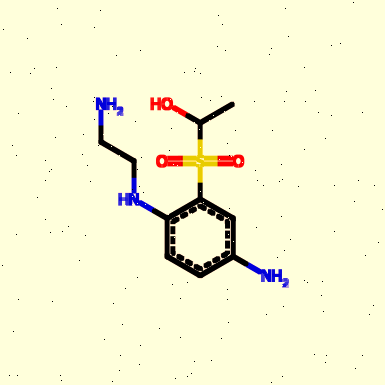 CC(O)S(=O)(=O)c1cc(N)ccc1NCCN